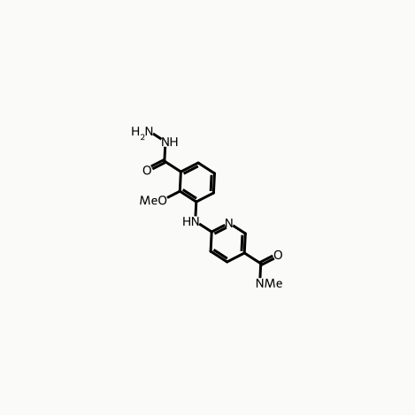 CNC(=O)c1ccc(Nc2cccc(C(=O)NN)c2OC)nc1